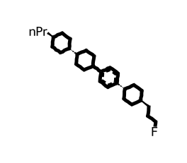 CCC[C@H]1CC[C@H](C2CCC(c3ccc([C@H]4CC[C@H](CCCF)CC4)cc3)CC2)CC1